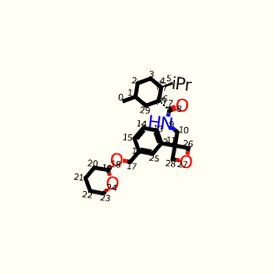 CC1CC[C@@H](C(C)C)[C@H](C(=O)NCC2(c3cccc(COC4CCCCO4)c3)COC2)C1